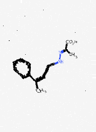 CC(=NNC/C=C(/C)c1ccccc1)C(=O)O